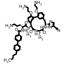 CCCCc1ccc(-c2ccc(C(=O)N[C@@H](CCCN)C(=O)N(C)[C@@H]3C(=O)N[C@@H](C)C(=O)N[C@H](c4ncc(C#N)[nH]4)Cc4ccc(OCCN)c(c4)-c4cc3ccc4OCCN)cc2)cc1